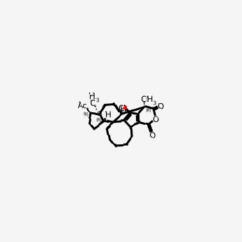 CC(=O)[C@@H]1CC[C@H]2C34CCCCCC5C6=C(C(Cl)=C53)[C@](C)(C(=O)OC6=O)[C@H]4CC[C@]12C